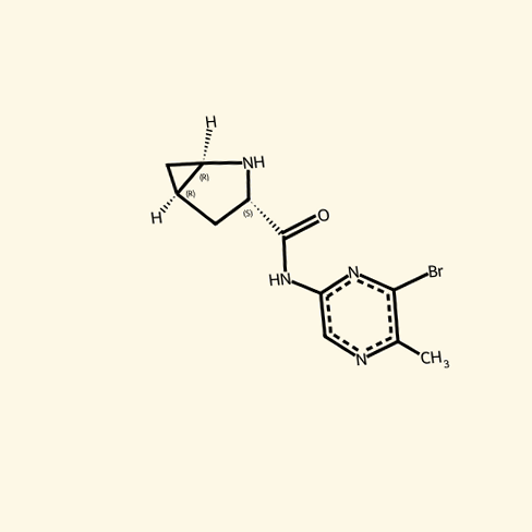 Cc1ncc(NC(=O)[C@@H]2C[C@H]3C[C@H]3N2)nc1Br